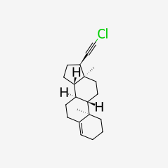 C[C@]12CC[C@H]3[C@@H](CCC4=CCCC[C@@]43C)[C@@H]1CC[C@H]2C#CCl